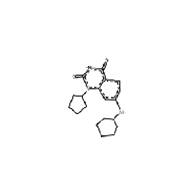 O=c1[nH]c(=O)n(C2CCCC2)c2cc(NC3CCCCC3)ccc12